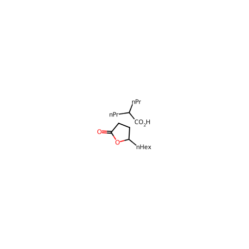 CCCC(CCC)C(=O)O.CCCCCCC1CCC(=O)O1